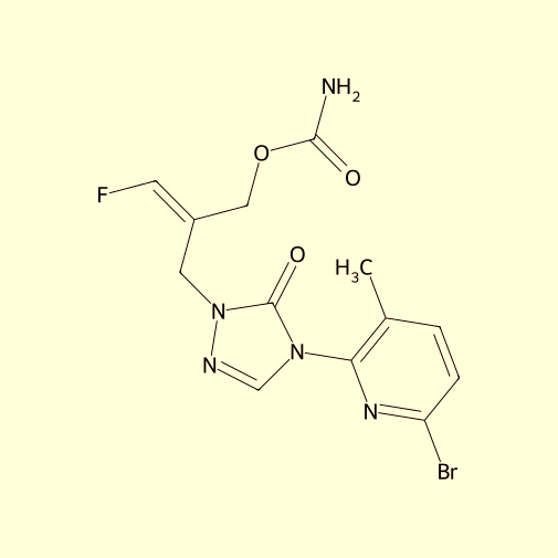 Cc1ccc(Br)nc1-n1cnn(C/C(=C\F)COC(N)=O)c1=O